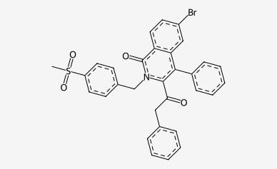 CS(=O)(=O)c1ccc(Cn2c(C(=O)Cc3ccccc3)c(-c3ccccc3)c3cc(Br)ccc3c2=O)cc1